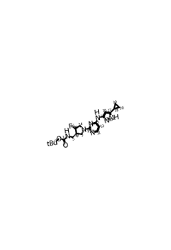 CC(C)(C)OC(=O)NC[C@@H]1CN(c2nccc(Nc3cc(C4CC4)[nH]n3)n2)C[C@@H]1F